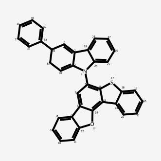 C1=c2c(n(-c3cc4c5ccccc5oc4c4c3sc3ccccc34)c3ccccc23)=CCC1c1ccccc1